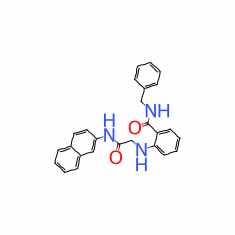 O=C(CNc1ccccc1C(=O)NCc1ccccc1)Nc1ccc2ccccc2c1